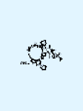 C=C[C@@H]1CC1(NC(=O)[C@@H]1C[C@@H]2CN1C(=O)[C@H](C1CCCCC1)NC(=O)OCC(C)(C)CCCc1cc3c(cc(N4CCCCC4)nc3cc1OC)O2)C(=O)NS(=O)(=O)C1CC1